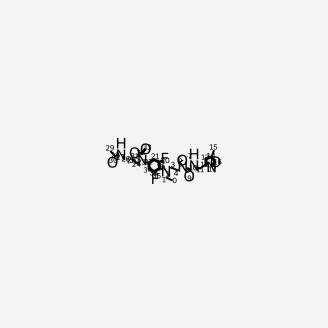 CCN(CCN(OC)C(=O)NCc1cc(C)on1)c1c(F)cc(N2C[C@H](CNC(C)=O)OC2=O)cc1F